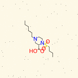 CCCCCCN1CCN(S(=O)(=O)CCCC)C(C(=O)O)C1